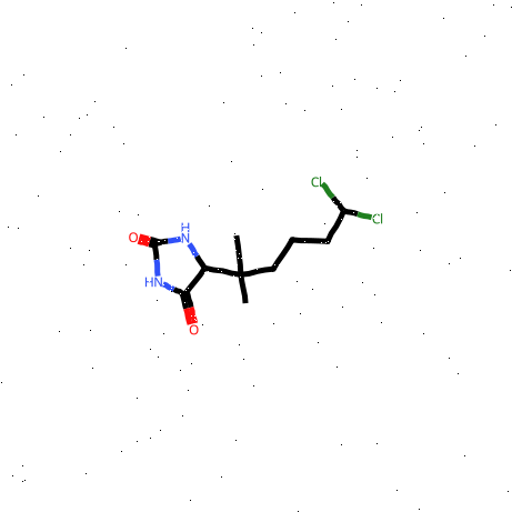 CC(C)(CCCC(Cl)Cl)C1NC(=O)NC1=O